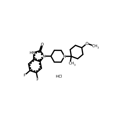 COC1CCC(C)(N2CCC(n3c(=O)[nH]c4cc(F)c(F)cc43)CC2)CC1.Cl